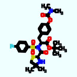 CN(C)C(=O)Oc1ccc(C[C@@H](C(=O)OC(C)(C)C)N(C(=O)[C@H]2NC(C)(C)CS2)S(=O)(=O)c2ccc(F)cc2)cc1